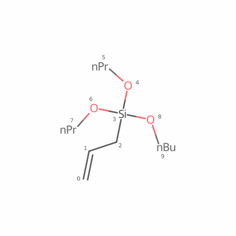 C=CC[Si](OCCC)(OCCC)OCCCC